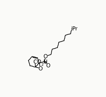 CC(C)CCCCCCCOC(=O)C12C=CCCC1(C(=O)O)O2